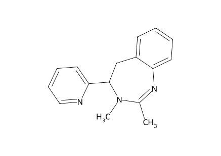 CC1=Nc2ccccc2CC(c2ccccn2)N1C